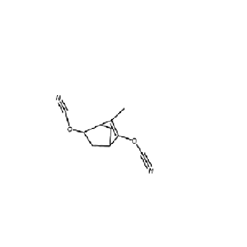 CC1=C(OC#N)C2CC(OC#N)C1C2